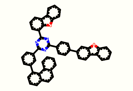 c1cc(-c2nc(-c3ccc(-c4ccc5c(c4)oc4ccccc45)cc3)nc(-c3cccc4c3oc3ccccc34)n2)cc(-c2cccc3ccc4ccccc4c23)c1